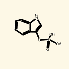 O=P(O)(O)Oc1c[nH]c2ccccc12